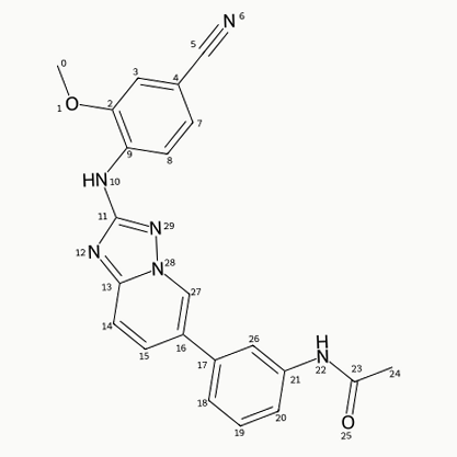 COc1cc(C#N)ccc1Nc1nc2ccc(-c3cccc(NC(C)=O)c3)cn2n1